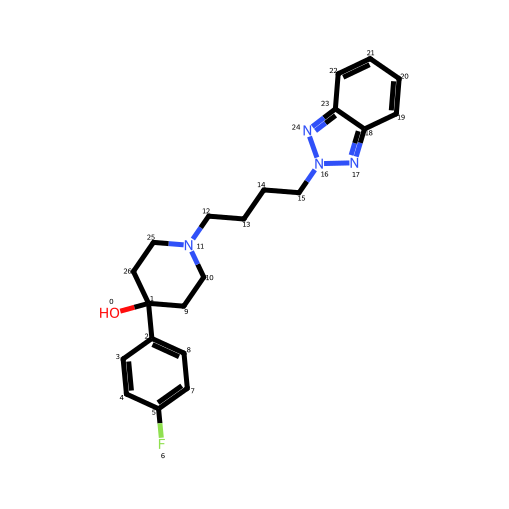 OC1(c2ccc(F)cc2)CCN(CCCCn2nc3ccccc3n2)CC1